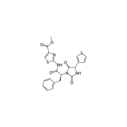 COC(=O)c1csc(NC(=O)[C@H](Cc2ccccc2)N2C(=O)NC(c3ccsc3)C2=O)n1